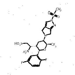 CS(=O)(=O)n1cc2c(n1)CN([C@@H]1C[C@@H](C(N)CS(=O)(=O)O)[C@H](c3cc(F)ccc3F)O[C@@H]1C(F)(F)F)C2